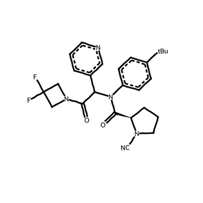 CC(C)(C)c1ccc(N(C(=O)[C@H]2CCCN2C#N)C(C(=O)N2CC(F)(F)C2)c2cccnc2)cc1